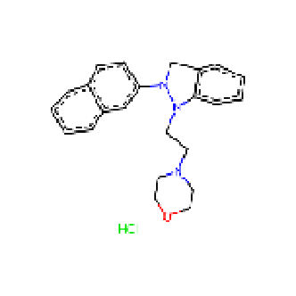 Cl.c1ccc2c(c1)CN(c1ccc3ccccc3c1)N2CCN1CCOCC1